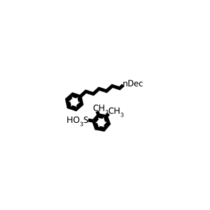 CCCCCCCCCCCCCCCCc1ccccc1.Cc1cccc(S(=O)(=O)O)c1C